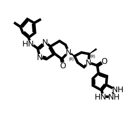 Cc1cc(C)cc(Nc2ncc3c(n2)CCN([C@@H]2CCN(C(=O)c4ccc5c(c4)NNN5)[C@H](C)C2)C3=O)c1